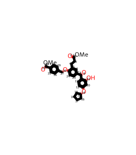 COC(=O)CCc1cc(C(=O)c2ccc(OC3CCCC3)cc2O)ccc1OCc1ccc(C(=O)OC)cc1